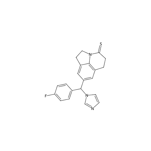 Fc1ccc(C(c2cc3c4c(c2)CCN4C(=S)CC3)n2ccnc2)cc1